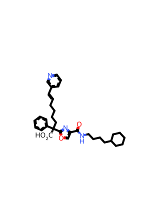 O=C(NCCCCC1CCCCC1)c1coc(C(CCCCC=Cc2cccnc2)(C(=O)O)c2ccccc2)n1